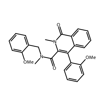 COc1ccccc1CN(C)C(=O)c1c(-c2ccccc2OC)c2ccccc2c(=O)n1C